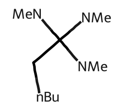 CCCCCC(NC)(NC)NC